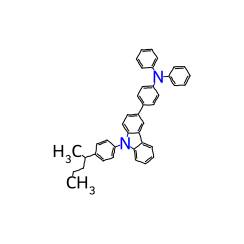 CCCC(C)c1ccc(-n2c3ccccc3c3cc(-c4ccc(N(c5ccccc5)c5ccccc5)cc4)ccc32)cc1